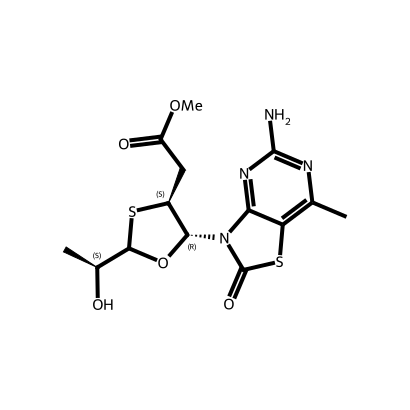 COC(=O)C[C@@H]1SC([C@H](C)O)O[C@H]1n1c(=O)sc2c(C)nc(N)nc21